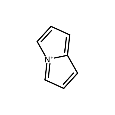 C1=CC2=CC=C[N+]2=C1